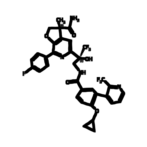 C[C@]1(C(N)=O)COc2c1cc([C@@](O)(CNC(=O)c1ccc(OC3CC3)c(-c3cccnc3C(F)(F)F)c1)C(F)(F)F)nc2-c1ccc(F)cc1